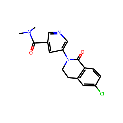 CN(C)C(=O)c1cncc(N2CCc3cc(Cl)ccc3C2=O)c1